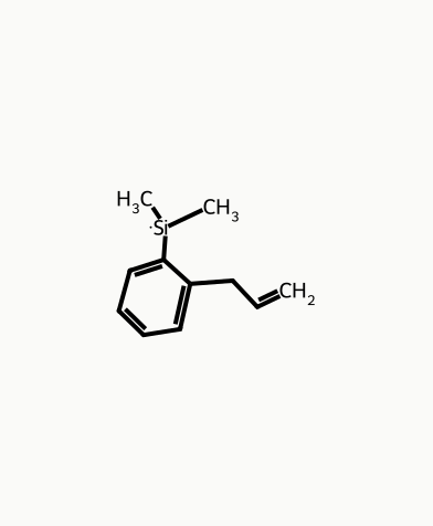 C=CCc1ccccc1[Si](C)C